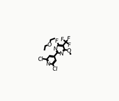 CCOCC.COc1nc(-c2cc(Cl)nc(Cl)c2)nc(F)c1C(F)(F)F